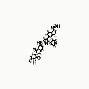 O=C1CCC(N2Cc3ccc(Bn4cc(-c5ccc6c(c5)CC/C6=N\O)c(-c5ccncc5)n4)cc3C2=O)C(=O)N1